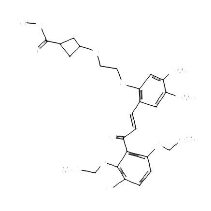 COCOc1ccc(Cl)c(OCOC)c1C(=O)/C=C/c1cc(OC)c(OC)cc1OCCOC1CC(C(=O)OC(C)(C)C)C1